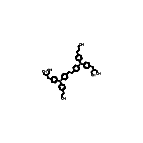 OCCCc1ccc(N(c2ccc(CCc3ccc(N(c4ccc(CCO)cc4)c4ccc(CC(CO)CO)cc4)cc3)cc2)c2ccc(CC(CO)CO)cc2)cc1